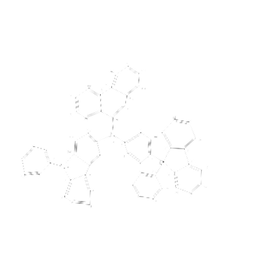 c1ccc(-n2c3ccccc3c3cc(N(c4ccc(C5(c6ccccc6)c6ccccc6-c6ccccc65)cc4)c4cc5ccccc5c5ccccc45)ccc32)cc1